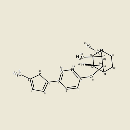 Cc1ccc(-c2ccc(O[C@H]3C4CCN(CC4)[C@@H]3C)nn2)s1